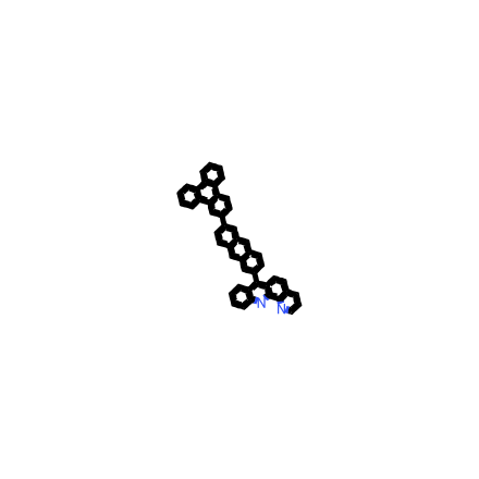 c1cnc2c(c1)ccc1c(-c3ccc4cc5cc(-c6ccc7c8ccccc8c8ccccc8c7c6)ccc5cc4c3)c3ccccc3nc12